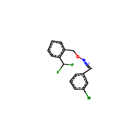 FC(F)c1ccccc1CO/N=[C]\c1cccc(Br)c1